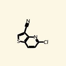 N#Cc1csc2ccc(Cl)nc12